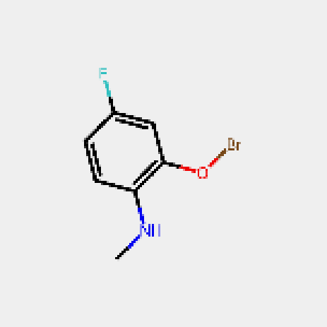 CNc1ccc(F)cc1OBr